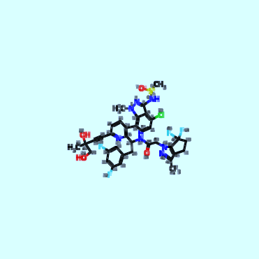 Cn1nc(N[S+](C)[O-])c2c(Cl)ccc(-c3ccc(C#CC(C)(O)CO)nc3C(Cc3cc(F)cc(F)c3)NC(=O)Cn3nc(C(F)(F)F)c4c3C(F)(F)CC4)c21